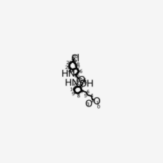 COC(=O)CCCc1cccc(NC(=O)c2cc3cc(Cl)ccc3[nH]2)c1O